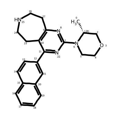 C[C@@H]1COCCN1c1nc2c(c(-c3ccc4ccccc4c3)n1)CCNCC2